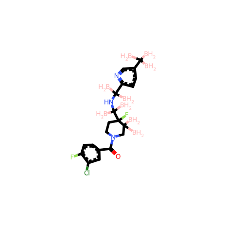 BC(B)(B)c1ccc(C(B)(B)NC(B)(B)C2(F)CCN(C(=O)c3ccc(F)c(Cl)c3)CC2(B)B)nc1